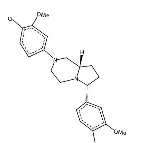 COc1cc(N2CCN3[C@@H](CC[C@@H]3c3ccc(OC)c(OC)c3)C2)ccc1Cl